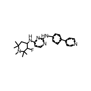 CN1C(C)(C)CC(Nc2ccnc(Nc3ccc(-c4ccncc4)cc3)n2)C(F)C1(C)C